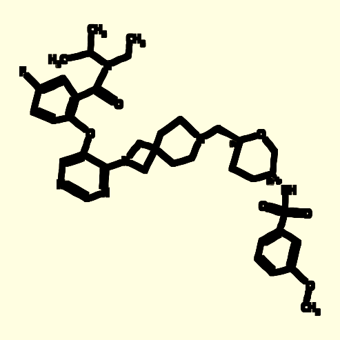 CCN(C(=O)c1cc(F)ccc1Oc1cncnc1N1CC2(CCN(C[C@@H]3CC[C@@H](NS(=O)(=O)c4cccc(OC)c4)CO3)CC2)C1)C(C)C